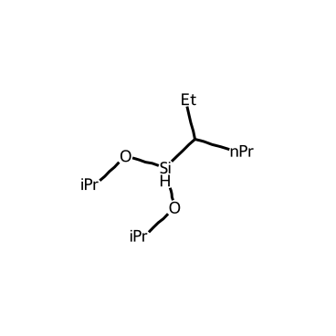 CCCC(CC)[SiH](OC(C)C)OC(C)C